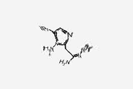 CCC/N=C(/N)c1ncc(C(C)C)n1N